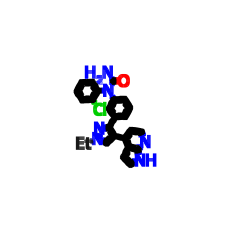 CCn1cc(-c2ccnc3[nH]ccc23)c(-c2cccc(N(C(N)=O)c3ccccc3Cl)c2)n1